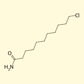 NC(=O)CCCCCCCCCCCl